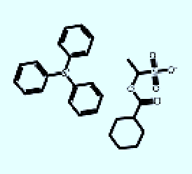 CC(OC(=O)C1CCCCC1)S(=O)(=O)[O-].c1ccc([S+](c2ccccc2)c2ccccc2)cc1